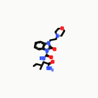 CCC(C)[C@H](NC(=O)n1c(=O)n(CCN2CCOCC2)c2ccccc21)C(N)=O